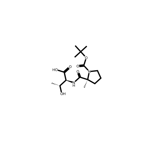 C[C@@H](O)[C@H](NC(=O)[C@]1(C)CCCN1C(=O)OC(C)(C)C)C(=O)O